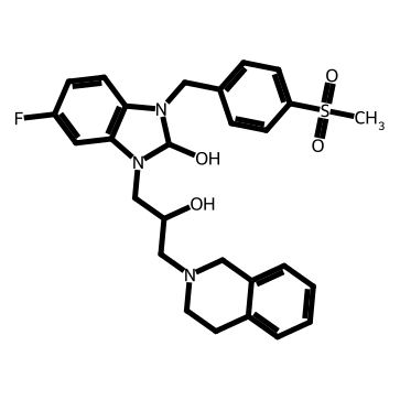 CS(=O)(=O)c1ccc(CN2c3ccc(F)cc3N(CC(O)CN3CCc4ccccc4C3)C2O)cc1